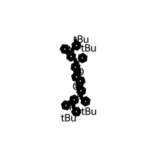 CC(C)(C)c1cc(-n2c3ccccc3c3ccc(N(c4ccccc4)c4ccc5c(c4)oc4c5ccc5c4ccc4c6ccc(N(c7ccccc7)c7ccc8c9ccccc9n(-c9cc(C(C)(C)C)cc(C(C)(C)C)c9)c8c7)cc6oc45)cc32)cc(C(C)(C)C)c1